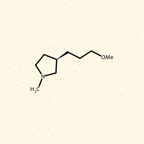 COCCC[C@@H]1CCN(C)C1